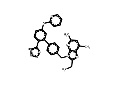 CCc1nc2c(C)cc(C)nc2n1Cc1ccc(-c2cc(Oc3ccccn3)ccc2-c2nnn[nH]2)cc1